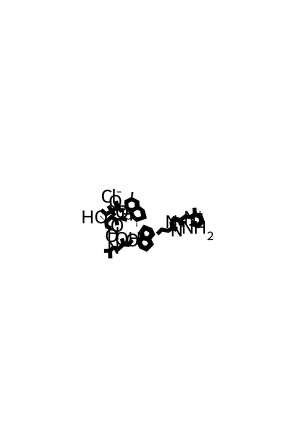 CC(C)NCC(O)COc1cccc2ccccc12.CCC(C)(C)C(=O)O[C@H]1C[C@@H](C)C=C2C=C[C@H](C)[C@H](CC[C@@H]3C[C@@H](O)CC(=O)O3)[C@H]21.CCCc1ncc(C[n+]2ccccc2C)c(N)n1.[Cl-]